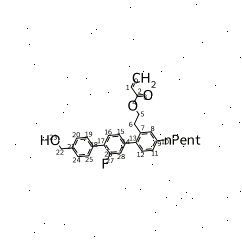 C=CC(=O)OCCc1cc(CCCCC)ccc1-c1ccc(-c2ccc(CO)cc2)c(F)c1